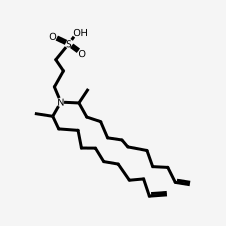 C=CCCCCCCCCC(C)N(CCCS(=O)(=O)O)C(C)CCCCCCCCC=C